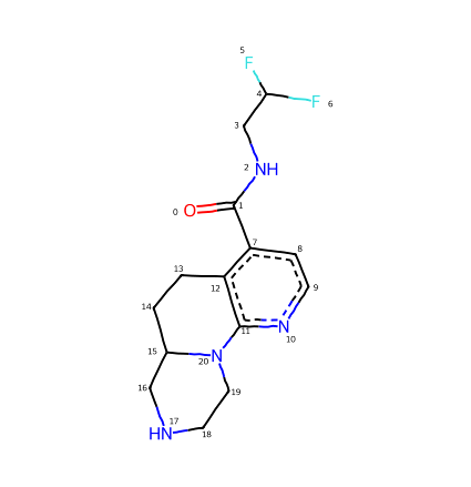 O=C(NCC(F)F)c1ccnc2c1CCC1CNCCN21